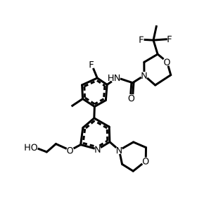 Cc1cc(F)c(NC(=O)N2CCOC(C(C)(F)F)C2)cc1-c1cc(OCCO)nc(N2CCOCC2)c1